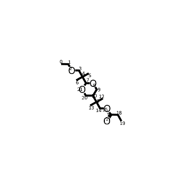 CCOCC(C)(C)C1OCC(C(C)(C)COC(=O)CC)CO1